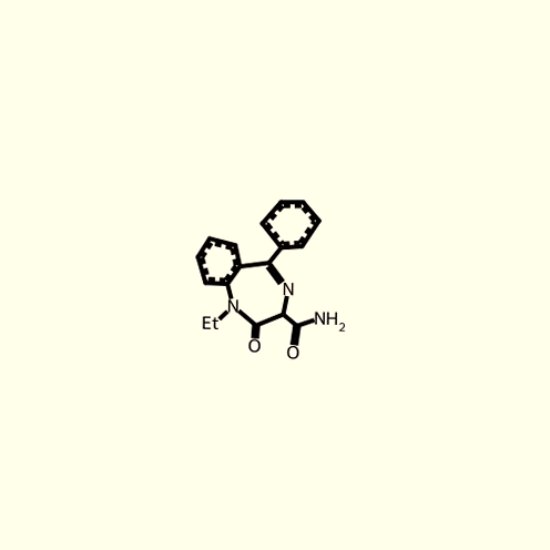 CCN1C(=O)C(C(N)=O)N=C(c2ccccc2)c2ccccc21